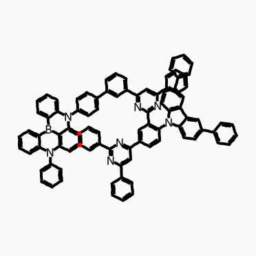 c1ccc(-c2ccc3c(c2)c2cc(-c4ccccc4)ccc2n3-c2ccc(-c3cc(-c4ccccc4)nc(-c4ccccc4)n3)cc2-c2nc(-c3ccccc3)cc(-c3cccc(-c4ccc(N5c6ccccc6B6c7ccccc7N(c7ccccc7)c7cccc5c76)cc4)c3)n2)cc1